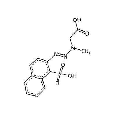 CN(CC(=O)O)N=Nc1ccc2ccccc2c1S(=O)(=O)O